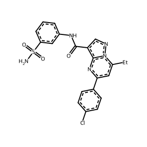 CCc1cc(-c2ccc(Cl)cc2)nc2c(C(=O)Nc3cccc(S(N)(=O)=O)c3)cnn12